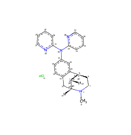 CN1CC[C@]23CCCC[C@H]2[C@H]1Cc1ccc(N(c2ccccn2)c2ccccn2)cc13.Cl